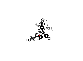 CCOc1cc(C(C)(C)COC)ccc1C1=N[C@@H](c2ccc(Cl)cc2)[C@@H](c2ccc(Cl)cc2)N1C(=O)N1CCN(CCS(C)(=O)=O)CC1